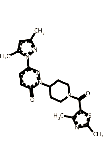 Cc1cc(C)n(-c2ccc(=O)n(C3CCN(C(=O)c4sc(C)nc4C)CC3)n2)n1